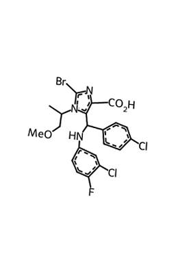 COCC(C)n1c(Br)nc(C(=O)O)c1C(Nc1ccc(F)c(Cl)c1)c1ccc(Cl)cc1